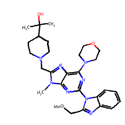 COCc1nc2ccccc2n1-c1nc(N2CCOCC2)c2nc(CN3CCC(C(C)(C)O)CC3)n(C)c2n1